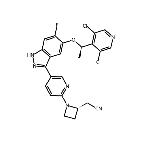 C[C@@H](Oc1cc2c(-c3ccc(N4CC[C@H]4CC#N)nc3)n[nH]c2cc1F)c1c(Cl)cncc1Cl